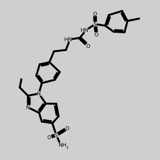 CCc1nc2cc(S(N)(=O)=O)ccc2n1-c1ccc(CCNC(=O)NS(=O)(=O)c2ccc(C)cc2)cc1